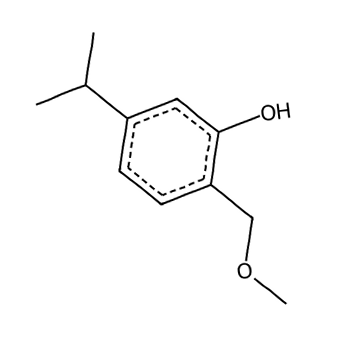 COCc1ccc(C(C)C)cc1O